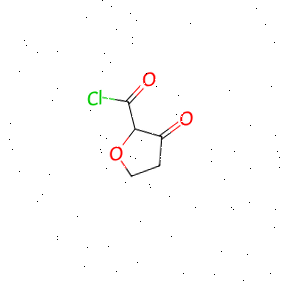 O=C(Cl)C1OCCC1=O